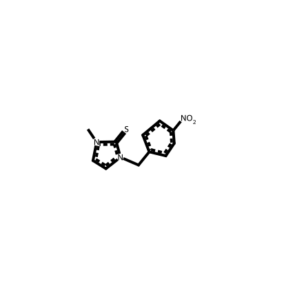 Cn1ccn(Cc2ccc([N+](=O)[O-])cc2)c1=S